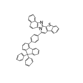 c1ccc(C2(c3ccccc3)c3ccccc3-c3c(-c4ccc(-c5cc6c7ccccc7sc6c6nc7c8ccccc8ccc7n56)cc4)cccc32)cc1